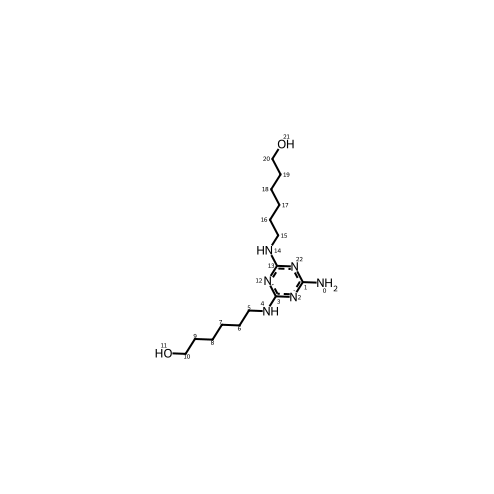 Nc1nc(NCCCCCCO)nc(NCCCCCCO)n1